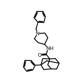 O=C(NC1CCN(Cc2ccccc2)CC1)C12CC3CC(C1)CC(c1ccccc1)(C3)C2